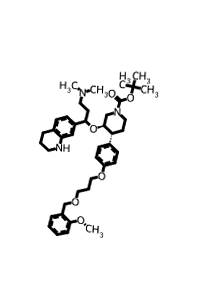 COc1ccccc1COCCCOc1ccc([C@H]2CCN(C(=O)OC(C)(C)C)C[C@@H]2OC(CCN(C)C)c2ccc3c(c2)NCCC3)cc1